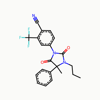 CCCN1C(=O)N(c2ccc(C#N)c(C(F)(F)F)c2)C(=O)C1(C)c1cc[c]cc1